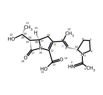 CC(=N)N1CCC[C@H]1/C=C(\C)C1=C(C(=O)O)N2C(=O)[C@H]([C@@H](C)O)[C@H]2C1